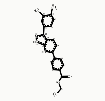 CCOC(=O)c1ccc(-c2ccc3c(-c4ccc(C)c(C)c4)n[nH]c3n2)cc1